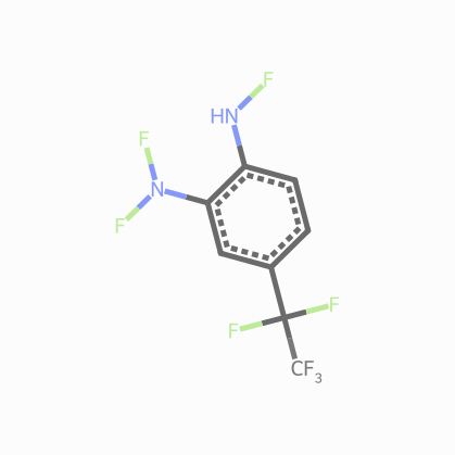 FNc1ccc(C(F)(F)C(F)(F)F)cc1N(F)F